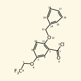 O=C(Cl)c1cc(OCC(F)(F)F)ccc1OCc1ccccc1